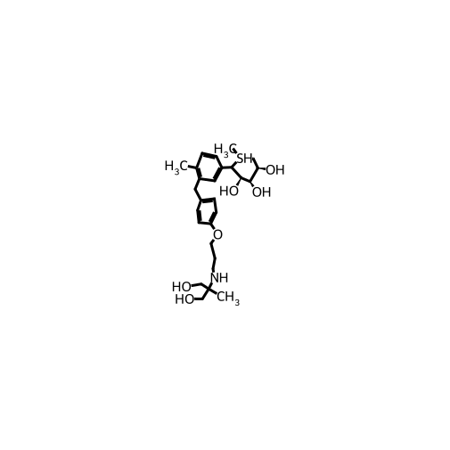 Cc1ccc(C2[C@H](O)[C@H](O)[C@H](O)C[SH]2C)cc1Cc1ccc(OCCCNC(C)(CO)CO)cc1